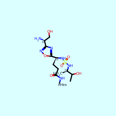 CCCCCCNC(=O)CC[C@H](NS(=O)(=O)N[C@H](C(=O)O)C(C)O)c1nc([C@@H](N)CO)no1